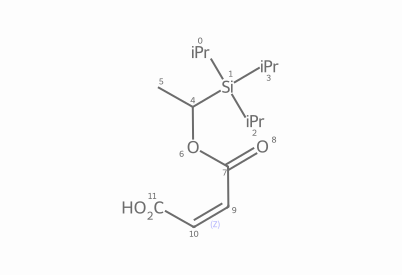 CC(C)[Si](C(C)C)(C(C)C)C(C)OC(=O)/C=C\C(=O)O